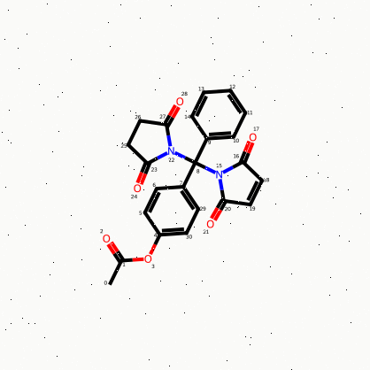 CC(=O)Oc1ccc(C(c2ccccc2)(N2C(=O)C=CC2=O)N2C(=O)CCC2=O)cc1